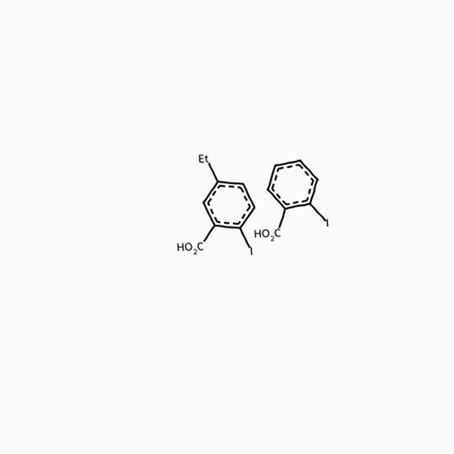 CCc1ccc(I)c(C(=O)O)c1.O=C(O)c1ccccc1I